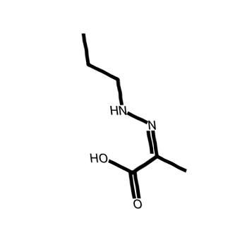 CCCN/N=C(/C)C(=O)O